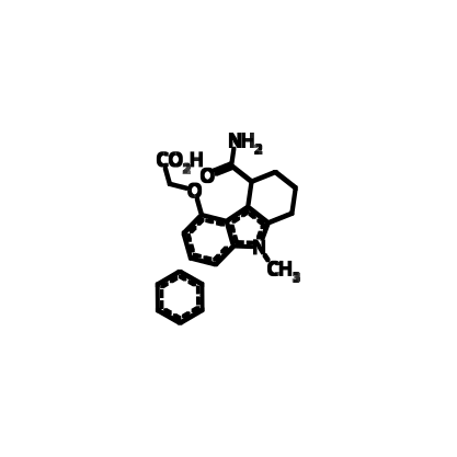 Cn1c2c(c3c(OCC(=O)O)cccc31)C(C(N)=O)CCC2.c1ccccc1